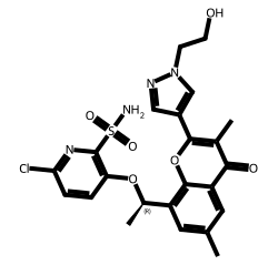 Cc1cc([C@@H](C)Oc2ccc(Cl)nc2S(N)(=O)=O)c2oc(-c3cnn(CCO)c3)c(C)c(=O)c2c1